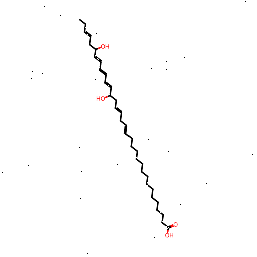 CCC=CCC(O)C=CC=CC=CC(O)CC=CCC=CCCCCCCCCCCCCCCC(=O)O